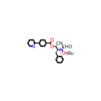 CC(C)(C)ON(C=O)[C@@H](Cc1ccccc1)[C@@H](C#N)OC(=O)c1ccc(-c2ccccn2)cc1